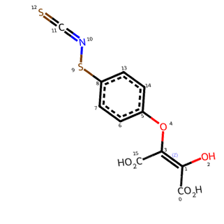 O=C(O)/C(O)=C(/Oc1ccc(SN=C=S)cc1)C(=O)O